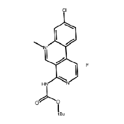 C[n+]1cc2c(NC(=O)OC(C)(C)C)nccc2c2ccc(Cl)cc21.[F-]